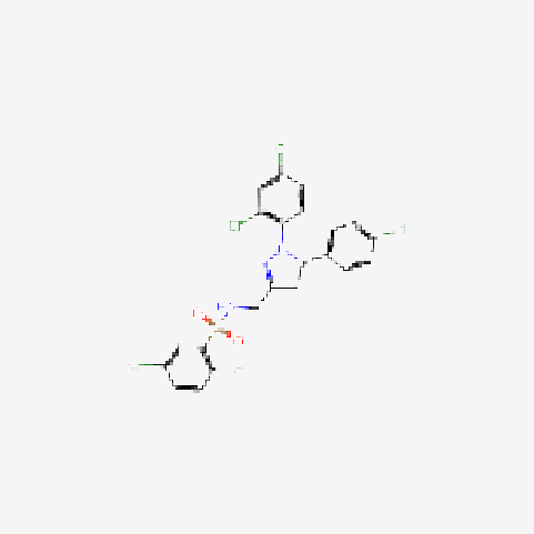 O=S(=O)(NCC1=NN(c2ccc(Cl)cc2Cl)C(c2ccc(Cl)cc2)C1)c1cc(Cl)ccc1F